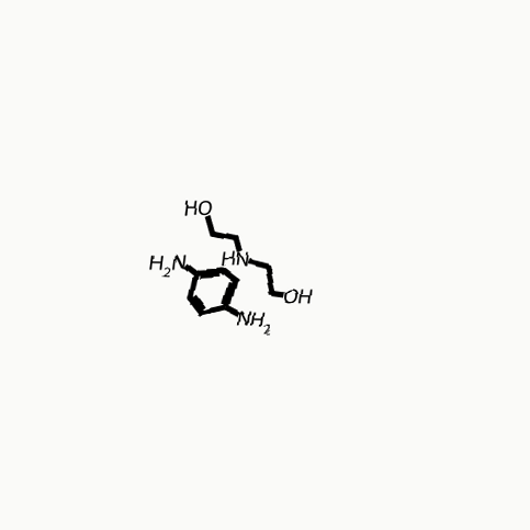 Nc1ccc(N)cc1.OCCNCCO